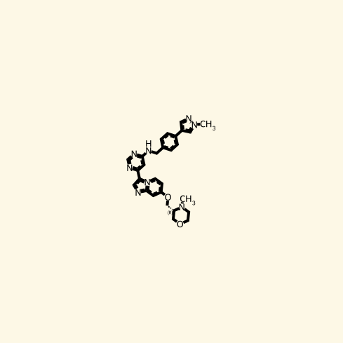 CN1CCOC[C@@H]1COc1ccn2c(-c3cc(NCc4ccc(-c5cnn(C)c5)cc4)ncn3)cnc2c1